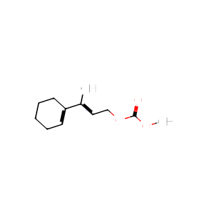 COC(=O)OC/C=C(\C)C1=CCCCC1